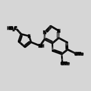 COc1cc2ncnc(Nc3ccc(C(=O)O)s3)c2cc1OC